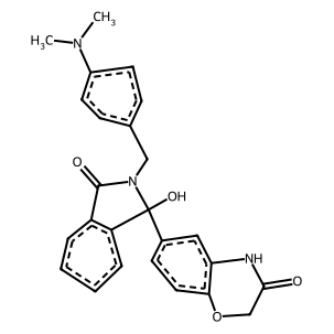 CN(C)c1ccc(CN2C(=O)c3ccccc3C2(O)c2ccc3c(c2)NC(=O)CO3)cc1